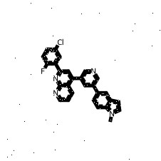 Cn1ccc2cc(-c3cncc(-c4cc(-c5cc(Cl)ccc5F)nc5ncccc45)c3)ccc21